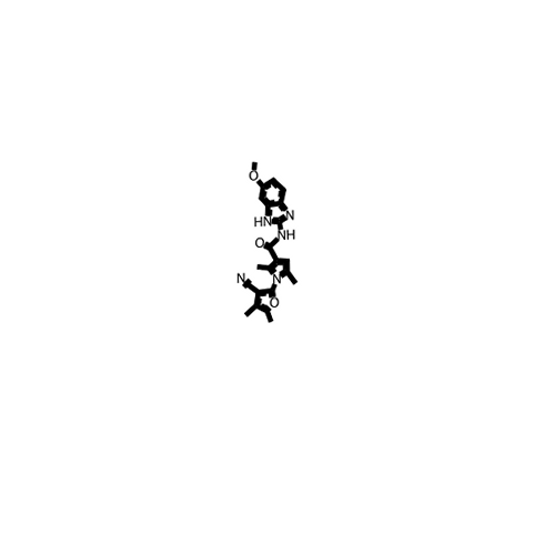 COc1ccc2nc(NC(=O)c3cc(C)n(-c4oc(C)c(C)c4C#N)c3C)[nH]c2c1